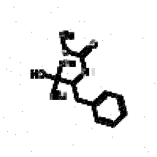 CCCCC(O)(CCCC)C(Cc1ccccc1)NC(=O)OC(C)(C)C